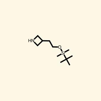 CC(C)(C)[Si](C)(C)OCCC1CNC1